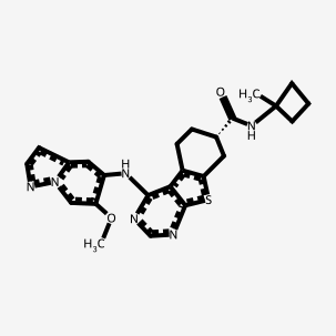 COc1cn2nccc2cc1Nc1ncnc2sc3c(c12)CC[C@H](C(=O)NC1(C)CCC1)C3